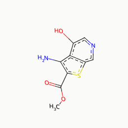 COC(=O)c1sc2cncc(O)c2c1N